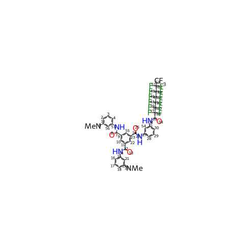 CNc1cccc(NC(=O)c2cc(C(=O)Nc3cccc(NC)c3)cc(C(=O)Nc3cccc(NC(=O)C(F)(F)C(F)(F)C(F)(F)C(F)(F)C(F)(F)C(F)(F)C(F)(F)F)c3)c2)c1